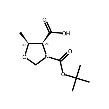 C[C@@H]1OCN(C(=O)OC(C)(C)C)[C@@H]1C(=O)O